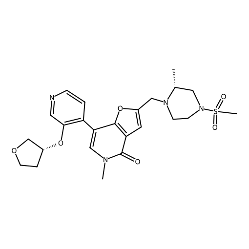 C[C@@H]1CN(S(C)(=O)=O)CCN1Cc1cc2c(=O)n(C)cc(-c3ccncc3O[C@@H]3CCOC3)c2o1